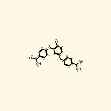 NC(O)c1ccc(Oc2ccc(Cl)c(Oc3ccc(C(N)O)cc3)c2)cc1